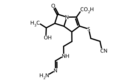 CC(O)C1C(=O)N2C(C(=O)O)=C(SCCC#N)C(CCNC=NN)C12